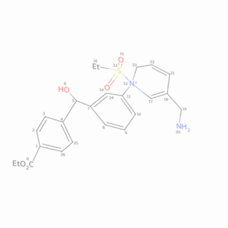 CCOC(=O)c1ccc(C(O)c2cccc([N+]3(S(=O)(=O)CC)C=C(CN)C=CC3)c2)cc1